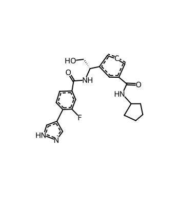 O=C(NC1CCCC1)c1cccc([C@@H](CO)NC(=O)c2ccc(-c3cn[nH]c3)c(F)c2)c1